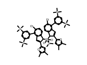 CCc1ccc2c(c1-c1cc([Si](C)(C)C)cc([Si](C)(C)C)c1)C=C(c1cc(C)c(C)o1)[CH]2[Zr]([Cl])([Cl])([CH]1C(c2cc(C)c(C)o2)=Cc2c1ccc(CC)c2-c1cc([Si](C)(C)C)cc([Si](C)(C)C)c1)=[Si](C)C